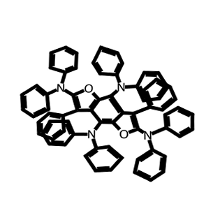 c1ccc(-c2c(N(c3ccccc3)c3ccccc3)oc3c(N(c4ccccc4)c4ccccc4)c4c(-c5ccccc5)c(N(c5ccccc5)c5ccccc5)oc4c(N(c4ccccc4)c4ccccc4)c23)cc1